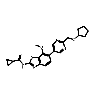 COc1c(-c2cnc(COC3CCCC3)nc2)ccc2nc(NC(=O)C3CC3)sc12